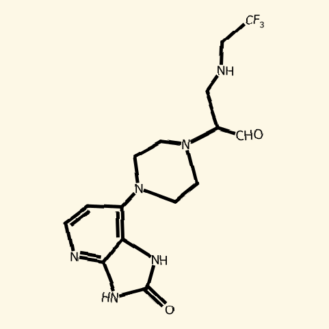 O=CC(CNCC(F)(F)F)N1CCN(c2ccnc3[nH]c(=O)[nH]c23)CC1